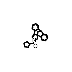 O=C(C1CCCC1)N1C=C2c3ccccc3C3CC2(C1)c1ccccc13